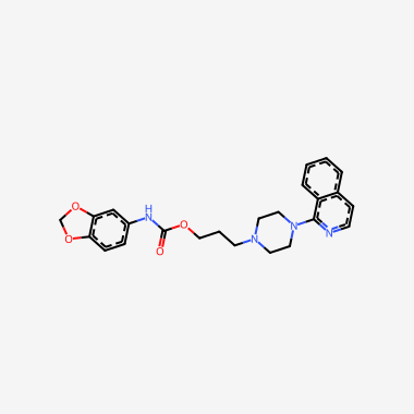 O=C(Nc1ccc2c(c1)OCO2)OCCCN1CCN(c2nccc3ccccc23)CC1